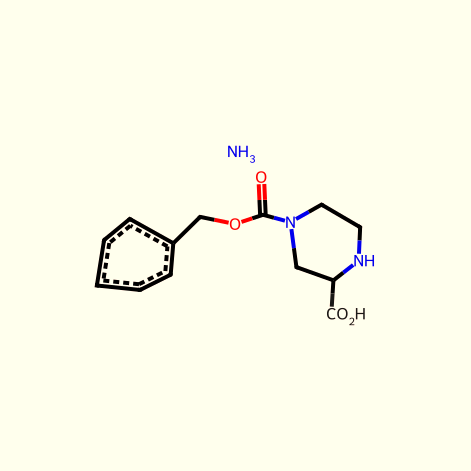 N.O=C(O)C1CN(C(=O)OCc2ccccc2)CCN1